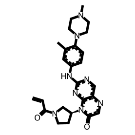 C=CC(=O)N1CC[C@H](n2c(=O)cnc3cnc(Nc4ccc(N5CCN(C)CC5)c(C)c4)nc32)C1